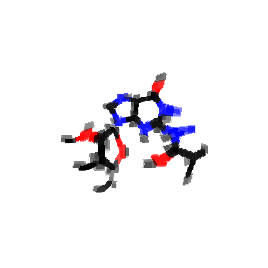 CC[C@H]1O[C@@H](n2cnc3c(=O)[nH]c(NC(=O)C(C)C)nc32)[C@H](OC)[C@@H]1C